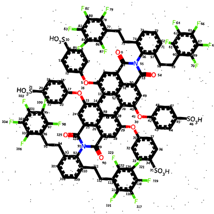 O=C1c2cc(Oc3ccc(S(=O)(=O)O)cc3)c3c4c(Oc5ccc(S(=O)(=O)O)cc5)cc5c6c(cc(Oc7ccc(S(=O)(=O)O)cc7)c(c7c(Oc8ccc(S(=O)(=O)O)cc8)cc(c2c37)C(=O)N1c1c(CCc2c(F)c(F)c(F)c(F)c2F)cccc1CCc1c(F)c(F)c(F)c(F)c1F)c64)C(=O)N(c1c(CCc2c(F)c(F)c(F)c(F)c2F)cccc1CCc1c(F)c(F)c(F)c(F)c1F)C5=O